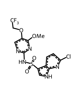 COc1nc(NS(=O)(=O)c2c[nH]c3nc(Cl)ccc23)ncc1OCC(F)(F)F